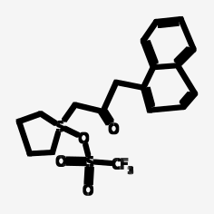 O=C(Cc1cccc2ccccc12)CS1(OS(=O)(=O)C(F)(F)F)CCCC1